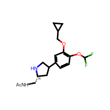 CC(=O)NC[C@H]1CC(c2ccc(OC(F)F)c(OCC3CC3)c2)CN1